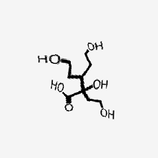 O=C(O)C(O)(CCO)C(CCO)CCO